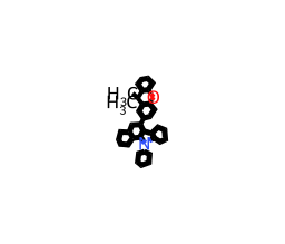 CC1(C)c2ccccc2Oc2ccc(-c3cc4ccccc4c4c3c3ccccc3n4-c3ccccc3)cc21